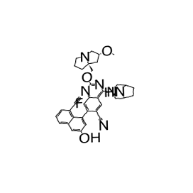 C#Cc1cccc2cc(O)cc(-c3c(C#N)cc4c(N5CC6CCC(C5)N6)nc(OC[C@@]56CCCN5C[C@H](OC)C6)nc4c3F)c12